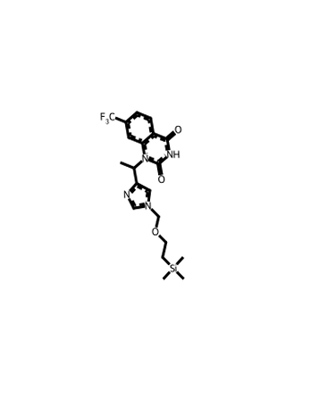 CC(c1cn(COCC[Si](C)(C)C)cn1)n1c(=O)[nH]c(=O)c2ccc(C(F)(F)F)cc21